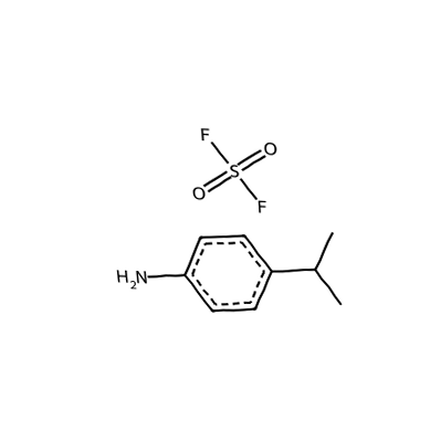 CC(C)c1ccc(N)cc1.O=S(=O)(F)F